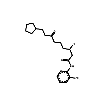 Cc1ccccc1NC(=O)CC(C)CCCC(=O)CCC1CCCC1